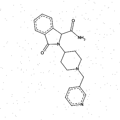 NC(=O)C1c2ccccc2C(=O)N1C1CCN(Cc2cccnc2)CC1